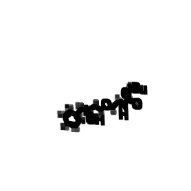 CC(C)(C)OC(=O)NCCOCCN(O)Cc1ccccc1